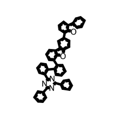 c1ccc(-c2nc(-c3ccccc3)nc(-c3ccccc3-c3ccccc3-c3cccc4c3oc3ccc(-c5cccc6c5oc5ccccc56)cc34)n2)cc1